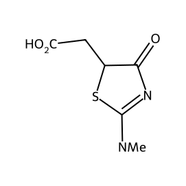 CNC1=NC(=O)C(CC(=O)O)S1